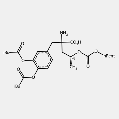 CCCCCOC(=O)O[C@@H](C)CC(N)(Cc1ccc(OC(=O)C(C)CC)c(OC(=O)C(C)CC)c1)C(=O)O